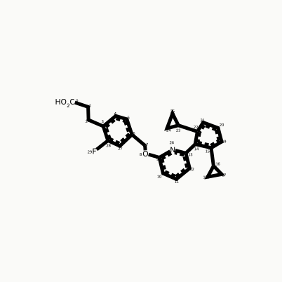 O=C(O)CCc1ccc(COc2cccc(-c3c(C4CC4)cccc3C3CC3)n2)cc1F